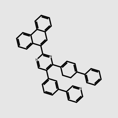 C1=C(c2ccccc2)CCC(c2nc(-c3cc4ccccc4c4ccccc34)ncc2-c2cccc(-c3cccnc3)c2)=C1